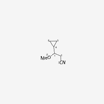 COC(CC#N)C1CC1